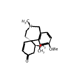 COc1ccc2c(c1C)[C@@]1(C=CC(=O)C[C@@H]1C)CCN(C)C2